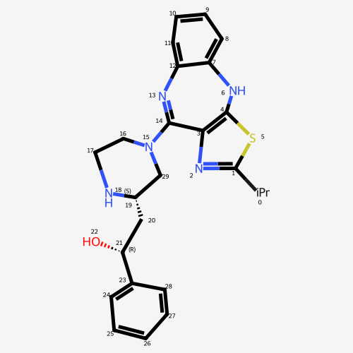 CC(C)c1nc2c(s1)Nc1ccccc1N=C2N1CCN[C@@H](C[C@@H](O)c2ccccc2)C1